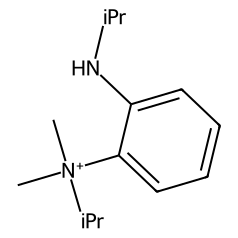 CC(C)Nc1ccccc1[N+](C)(C)C(C)C